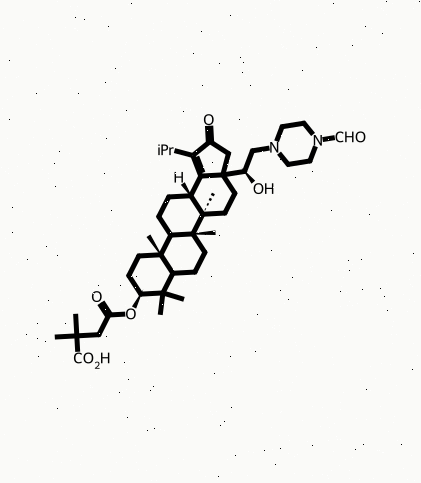 CC(C)C1=C2[C@H]3CCC4[C@@]5(C)CC[C@H](OC(=O)CC(C)(C)C(=O)O)C(C)(C)C5CC[C@@]4(C)[C@]3(C)CCC2([C@H](O)CN2CCN(C=O)CC2)CC1=O